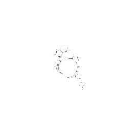 CO[C@H]1/C=C/C[C@H](C)C[S@@](=O)(NC(=O)[C@H]2C[C@@](C)(O)C2)=NC(=O)c2ccc3c(n2)N(C[C@@H]2CC[C@H]21)C[C@@]1(CCCc2cc(C)ccc21)CO3